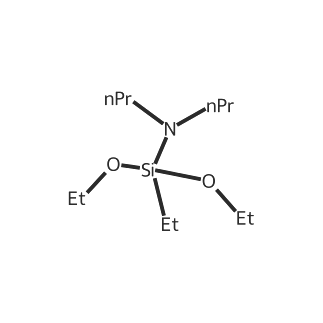 CCCN(CCC)[Si](CC)(OCC)OCC